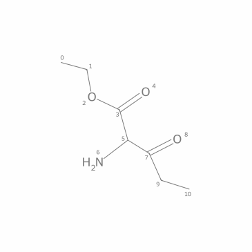 CCOC(=O)C(N)C(=O)CC